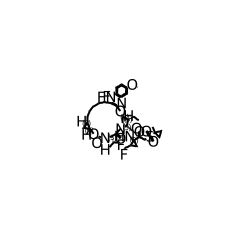 CC[C@@H]1[C@@H]2CN(C(=O)[C@H](C(C)C)NC(=O)O[C@@H]3C[C@H]3CCCCC(F)(F)c3nc4ccc(OC)cc4nc3O2)[C@@H]1C(=O)N[C@]1(C(=O)CS(=O)(=O)C2(C)CC2)CC1C(F)F